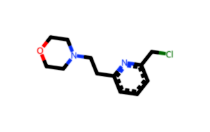 ClCc1cccc(CCN2CCOCC2)n1